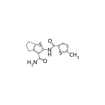 Cc1ccc(C(=O)Nc2sc3c(c2C(N)=O)CCC3)s1